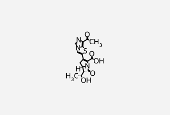 CC(=O)c1ncn2cc(C3=C(C(=O)O)N4C(=O)[C@H]([C@@H](C)O)[C@H]4C3)sc12